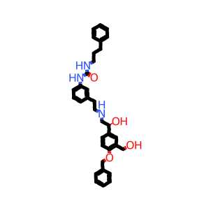 O=C(NCCCc1ccccc1)Nc1cccc(CCNC[C@H](O)c2ccc(OCc3ccccc3)c(CO)c2)c1